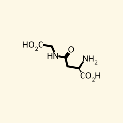 N[C@@H](CC(=O)NCC(=O)O)C(=O)O